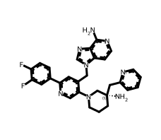 Nc1nccc2c1ncn2Cc1cc(-c2ccc(F)c(F)c2)ncc1N1CCC[C@](N)(Cc2ccccn2)C1